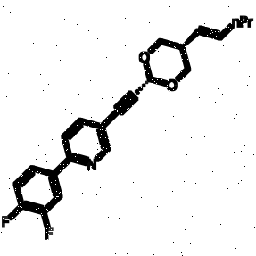 CCCC=C[C@H]1CO[C@H](C#Cc2ccc(-c3ccc(F)c(F)c3)nc2)OC1